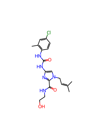 CC(C)=CCn1cc(NC(=O)Nc2ccc(Cl)cc2C)nc1C(=O)NCCO